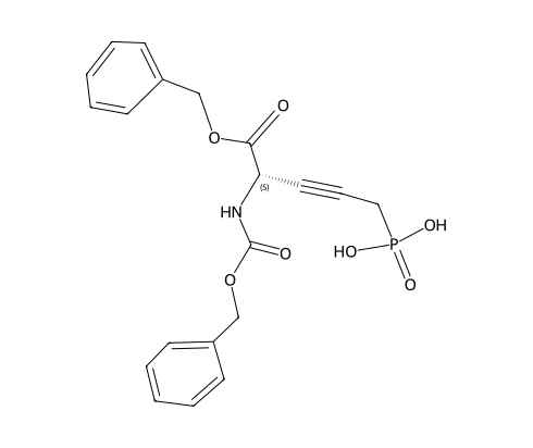 O=C(N[C@@H](C#CCP(=O)(O)O)C(=O)OCc1ccccc1)OCc1ccccc1